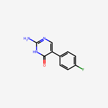 Nc1ncc(-c2ccc(F)cc2)c(=O)[nH]1